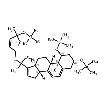 CCC(C)(OC/C=C\C(C)(C)O[Si](CC)(CC)CC)C1=CC[C@H]2C3=CC=C4C[C@@H](O[Si](C)(C)C(C)(C)C)C[C@H](O[Si](C)(C)C(C)(C)C)[C@]4(C)[C@H]3CC[C@]12C